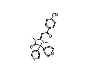 CN1C(=O)C(c2ccncc2)(c2ccncc2)N(C)C1=CC(=O)c1ccc(C#N)cc1